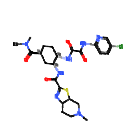 CCN(C)C(=O)[C@H]1CC[C@H](NC(=O)C(=O)Nc2ccc(Cl)cn2)[C@H](NC(=O)C2=NC3CCN(C)CC3S2)C1